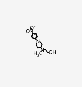 CN(CCO)C1CCN(c2ccc([N+](=O)[O-])cc2)CC1